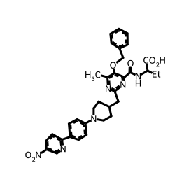 CCC(NC(=O)c1nc(CC2CCN(c3ccc(-c4ccc([N+](=O)[O-])cn4)cc3)CC2)nc(C)c1OCc1ccccc1)C(=O)O